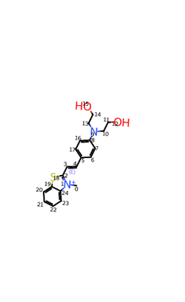 C[n+]1c(/C=C/c2ccc(N(CCO)CCO)cc2)sc2ccccc21